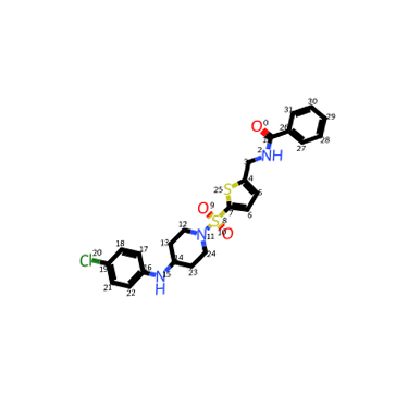 O=C(NCc1ccc(S(=O)(=O)N2CCC(Nc3ccc(Cl)cc3)CC2)s1)c1ccccc1